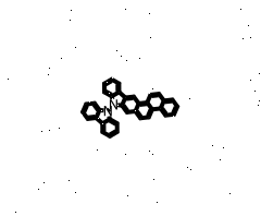 c1ccc2c(c1)ccc1c3cc4c5ccccc5n(-n5c6ccccc6c6ccccc65)c4cc3ccc21